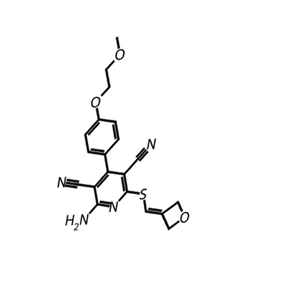 COCCOc1ccc(-c2c(C#N)c(N)nc(SC=C3COC3)c2C#N)cc1